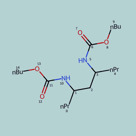 [CH2]CCC(CC(CC[CH2])NC(=O)OCCCC)NC(=O)OCCCC